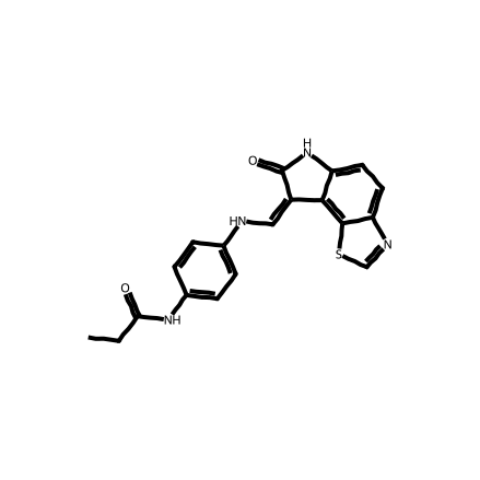 CCC(=O)Nc1ccc(N/C=C2\C(=O)Nc3ccc4ncsc4c32)cc1